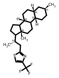 C[C@H]1CC[C@@H]2C3CC[C@@]4(C)C(CCC4[C@@H](C)Cc4nc(C(F)(F)F)cs4)[C@@H]3CC[C@@H]2C1